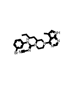 CCCCC1CN(c2ncnc3[nH]cc(C)c23)CCN1/C(=N/C#N)Nc1cccc(Br)c1